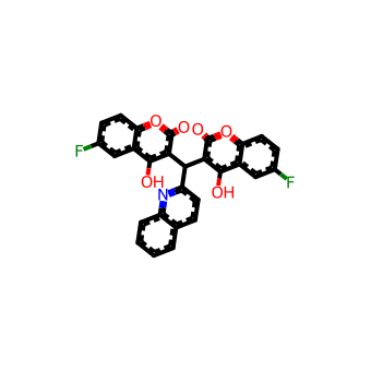 O=c1oc2ccc(F)cc2c(O)c1C(c1ccc2ccccc2n1)c1c(O)c2cc(F)ccc2oc1=O